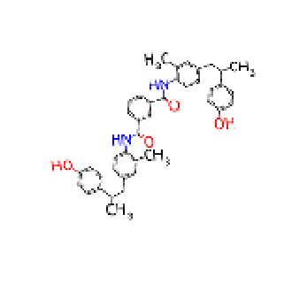 Cc1cc(CC(C)c2ccc(O)cc2)ccc1NC(=O)c1cccc(C(=O)Nc2ccc(CC(C)c3ccc(O)cc3)cc2C)c1